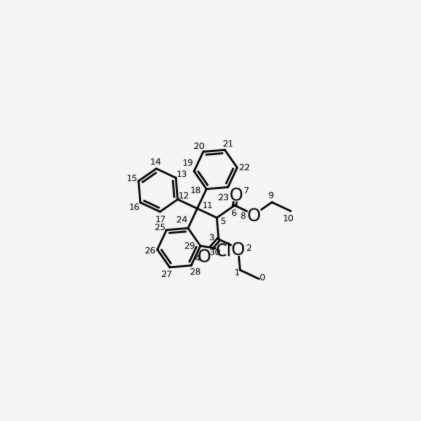 CCOC(=O)C(C(=O)OCC)C(c1ccccc1)(c1ccccc1)c1ccccc1Cl